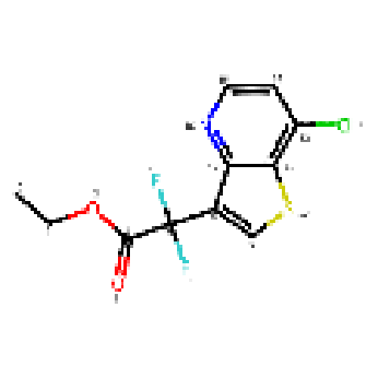 CCOC(=O)C(F)(F)c1csc2c(Cl)ccnc12